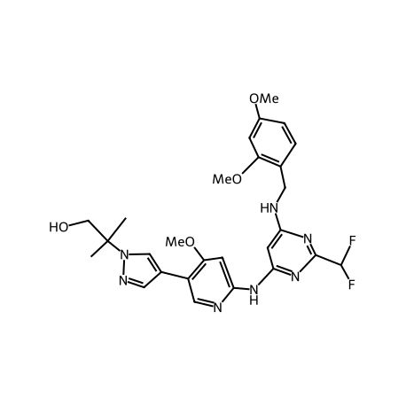 COc1ccc(CNc2cc(Nc3cc(OC)c(-c4cnn(C(C)(C)CO)c4)cn3)nc(C(F)F)n2)c(OC)c1